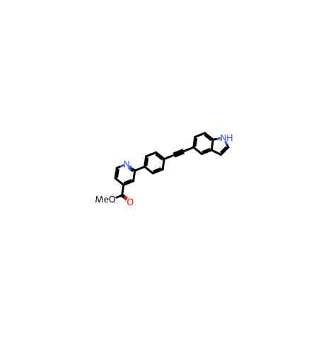 COC(=O)c1ccnc(-c2ccc(C#Cc3ccc4[nH]ccc4c3)cc2)c1